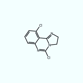 ClC1=Nc2cccc(Cl)c2C2=NCCN12